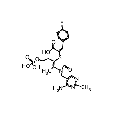 C/C(=C(\CCOP(=O)(O)O)S/C(=C/c1ccc(F)cc1)C(=O)O)N(C=O)Cc1cnc(C)nc1N